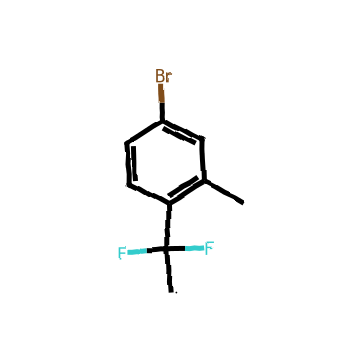 [CH2]C(F)(F)c1ccc(Br)cc1C